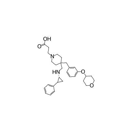 O=C(O)CCN1CCC(CN[C@@H]2CC2c2ccccc2)(Cc2cccc(OC3CCOCC3)c2)CC1